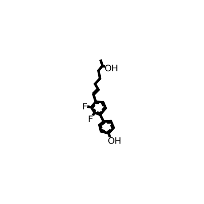 CC(O)CCCC=Cc1ccc(-c2ccc(O)cc2)c(F)c1F